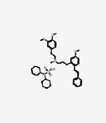 COc1ccc(C=Cc2ccccc2)c(CCCN(C)CCc2ccc(OC)c(OC)c2)c1.O=S(=O)(O)N(C1CCCCC1)C1CCCCC1